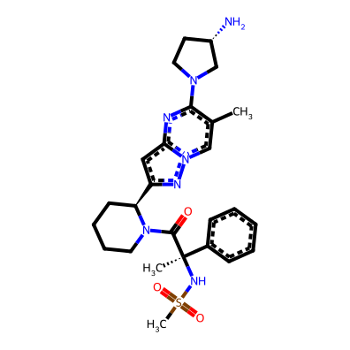 Cc1cn2nc([C@@H]3CCCCN3C(=O)[C@](C)(NS(C)(=O)=O)c3ccccc3)cc2nc1N1CC[C@H](N)C1